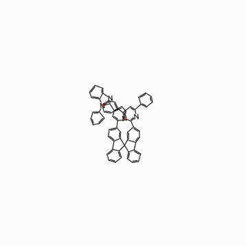 c1ccc(-c2cc(-c3ccccc3)nc(-c3ccc4c(c3)C3(c5ccccc5-c5ccc(-c6cccc(-c7nc8ccccc8n7-c7ccccc7)c6)cc53)c3ccccc3-4)n2)cc1